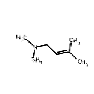 CC(C)=CCN(C)[SiH3]